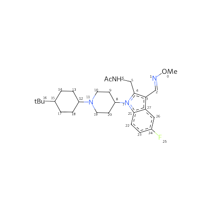 CON=Cc1c(CNC(C)=O)n(C2CCN(C3CCC(C(C)(C)C)CC3)CC2)c2ccc(F)cc12